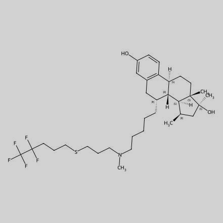 C[C@@H]1C[C@](C)(O)[C@@]2(C)CC[C@@H]3c4ccc(O)cc4C[C@@H](CCCCCN(C)CCCSCCCC(F)(F)C(F)(F)F)[C@H]3[C@H]12